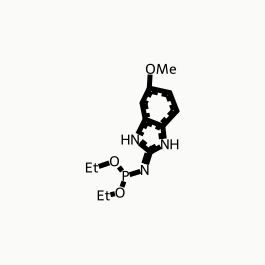 CCOP(/N=c1/[nH]c2ccc(OC)cc2[nH]1)OCC